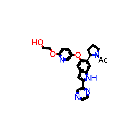 CC(=O)N1CCC[C@@H]1c1cc2[nH]c(-c3cnccn3)cc2cc1Oc1ccc(OCCO)nc1